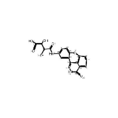 O=C(O)C(O)C(O)C(=O)Nc1ccc2c(c1)-c1n[nH]c(=O)c3cccc(c13)O2